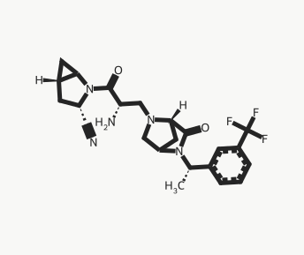 C[C@@H](c1cccc(C(F)(F)F)c1)N1C(=O)[C@@H]2CC1CN2C[C@H](N)C(=O)N1C2C[C@H]2C[C@H]1C#N